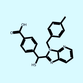 Cc1ccc(Cn2c(C(S)c3ccc(C(=O)O)cc3)nc3cccnc32)cc1